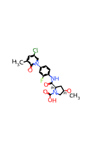 CO[C@@H]1C[C@H](C(=O)Nc2ccc(-n3cc(Cl)cc(C)c3=O)cc2F)N(C(=O)O)C1